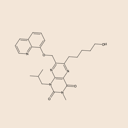 CC(C)Cn1c(=O)n(C)c(=O)c2nc(CCCCCO)c(COc3cccc4cccnc34)nc21